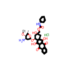 CCO[C@@H]1[C@H](C)O[C@@H](O[C@H]2C[C@](O)(COC(=O)Nc3ccccc3)Cc3c(O)c4c(c(O)c32)C(=O)c2ccccc2C4=O)C[C@@H]1N.Cl